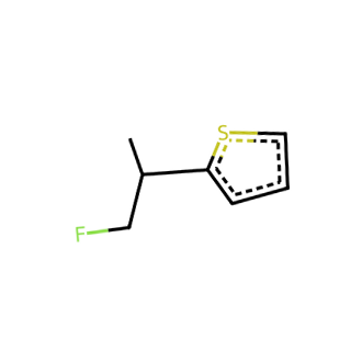 CC(CF)c1cccs1